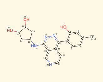 Oc1cc(C(F)(F)F)ccc1-c1nnc(NC2CC(O)C(O)C2)c2cnccc12